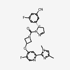 Cc1cn(C)c(-c2cc(OC3CN(C(=O)N4N=CC[C@H]4c4cc(F)cc(C#N)c4)C3)c(F)cn2)n1